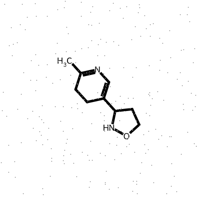 CC1=NC=C(C2CCON2)CC1